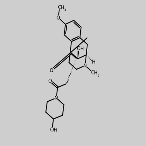 COc1ccc2c(c1)C13CCN(C)[C@H](C2)[C@]1(O)C[C@H](CC(=O)N1CCC(O)CC1)C(=O)C3